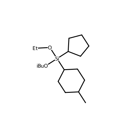 CCO[Si](OCC(C)C)(C1CCCC1)C1CCC(C)CC1